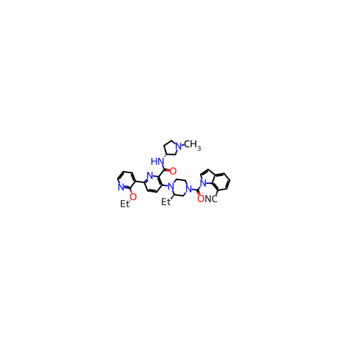 CCOc1ncccc1-c1ccc(N2CCN(C(=O)n3ccc4cccc(C#N)c43)C[C@H]2CC)c(C(=O)N[C@@H]2CCN(C)C2)n1